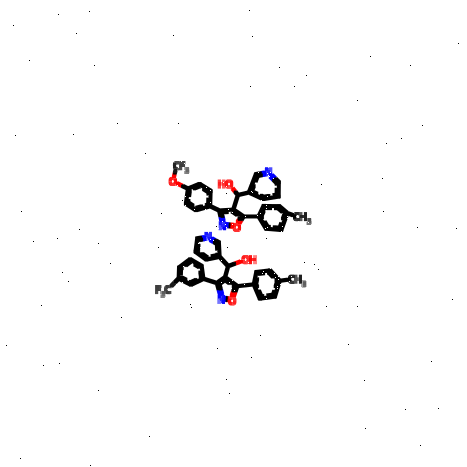 Cc1ccc(-c2onc(-c3ccc(OC(F)(F)F)cc3)c2C(O)c2cccnc2)cc1.Cc1ccc(-c2onc(-c3cccc(C(F)(F)F)c3)c2C(O)c2cccnc2)cc1